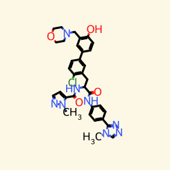 Cn1cnnc1-c1ccc(NC(=O)C(Cc2cc(-c3ccc(O)c(CN4CCOCC4)c3)ccc2Cl)NC(=O)c2ccnn2C)cc1